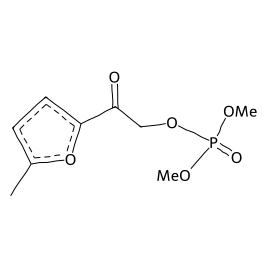 COP(=O)(OC)OCC(=O)c1ccc(C)o1